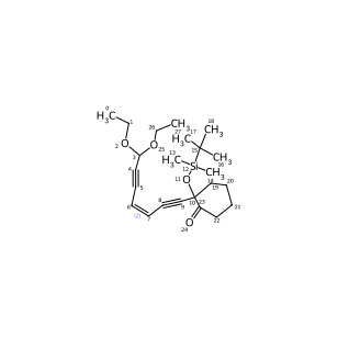 CCOC(C#C/C=C\C#CC1(O[Si](C)(C)C(C)(C)C)CCCCC1=O)OCC